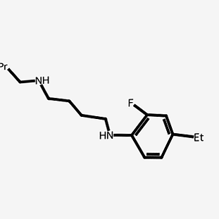 CCc1ccc(NCCCCNCC(C)C)c(F)c1